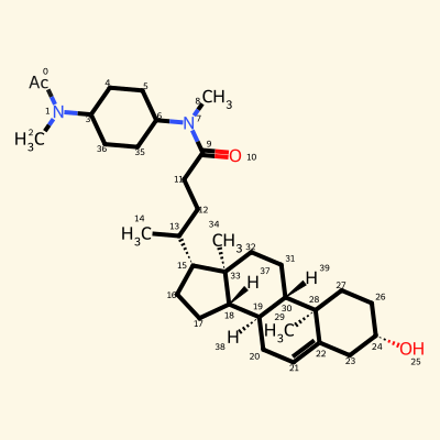 CC(=O)N(C)C1CCC(N(C)C(=O)CCC(C)[C@H]2CC[C@H]3[C@@H]4CC=C5C[C@@H](O)CC[C@]5(C)[C@H]4CC[C@]23C)CC1